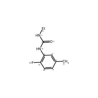 CCNC(=O)Nc1cc(C)ccc1F